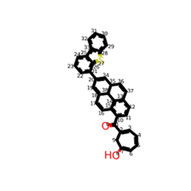 O=C(C1=CC=CC=C(O)C1)c1ccc2c3c1C=CC1=CC(c4cccc5c4sc4ccccc45)=CC(C=C2)C13